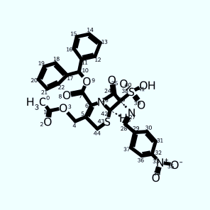 CC(=O)OCC1=C(C(=O)OC(c2ccccc2)c2ccccc2)N2C(=O)[C@@](N=Cc3ccc([N+](=O)[O-])cc3)(S(=O)(=O)O)[C@H]2SC1